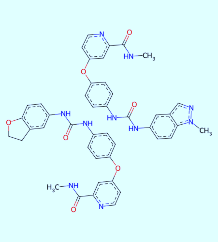 CNC(=O)c1cc(Oc2ccc(NC(=O)Nc3ccc4c(c3)CCO4)cc2)ccn1.CNC(=O)c1cc(Oc2ccc(NC(=O)Nc3ccc4c(cnn4C)c3)cc2)ccn1